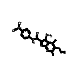 C=CCc1c(C)nc2sc(C(=O)Nc3ccc([N+](=O)[O-])cc3)c(N)c2c1C